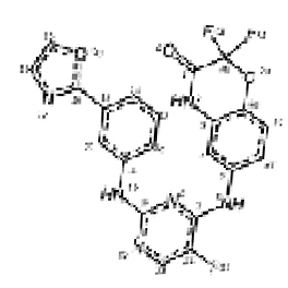 O=C1Nc2cc(Nc3nc(Nc4cccc(-c5ncco5)c4)ncc3F)ccc2OC1(F)F